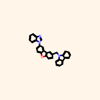 c1ccc2c(c1)ncn2-c1ccc2oc3ccc(Cn4c5ccccc5c5ccccc54)cc3c2c1